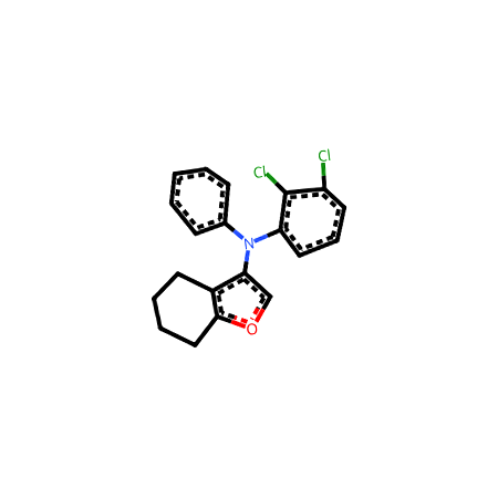 Clc1cccc(N(c2ccccc2)c2coc3c2CCCC3)c1Cl